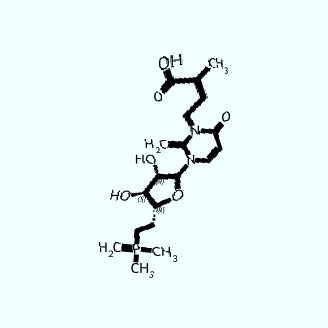 C=C1N(CCC(C)C(=O)O)C(=O)C=CN1C1O[C@H](CCP(=C)(C)C)[C@@H](O)[C@H]1O